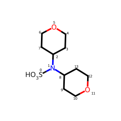 O=S(=O)(O)N(C1CCOCC1)C1CCOCC1